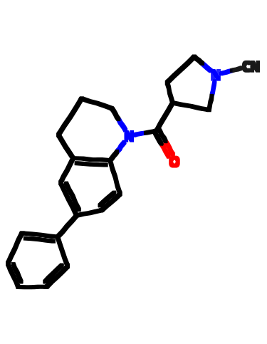 N#CN1CCC(C(=O)N2CCCc3cc(-c4ccccc4)ccc32)C1